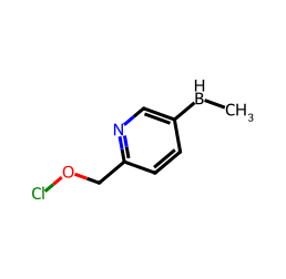 CBc1ccc(COCl)nc1